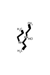 C=CCN.C=CCNCC=C.Cl